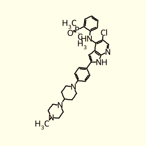 CN1CCN(C2CCN(c3ccc(-c4cc5c(Nc6ccccc6P(C)(C)=O)c(Cl)cnc5[nH]4)cc3)CC2)CC1